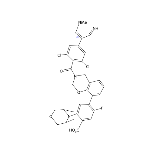 CN/C=C(\C=N)c1cc(Cl)c(C(=O)N2COc3c(cccc3-c3cc(N4C5CCC4COC5)c(C(=O)O)cc3F)C2)c(Cl)c1